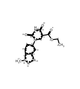 CCOC(=O)c1cn(-c2ccc3c(c2)nnn3C)c(=O)[nH]c1=O